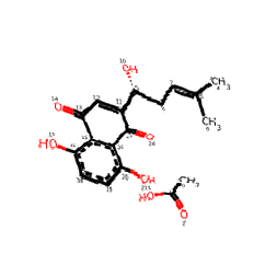 CC(=O)O.CC(C)=CC[C@@H](O)C1=CC(=O)c2c(O)ccc(O)c2C1=O